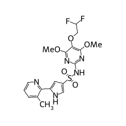 COc1nc(NS(=O)(=O)c2c[nH]c(-c3ncccc3C)c2)nc(OC)c1OCC(F)F